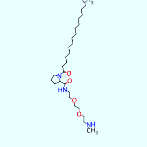 CCCCCCCCCCCCCCCC(=O)N1CCCC1C(=O)NCCOCCOCCNC